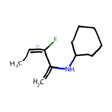 C=C(NC1CCCCC1)/C(F)=C\C